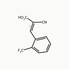 N#C/C(=C\c1ccccc1C(F)(F)F)C(=O)O